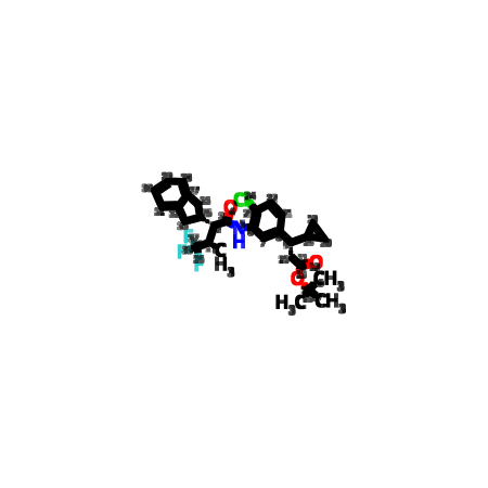 C[C@H]([C@@H](C(=O)Nc1cc([C@@H](CC(=O)OC(C)(C)C)C2CC2)ccc1Cl)C1Cc2ccccc2C1)C(F)(F)F